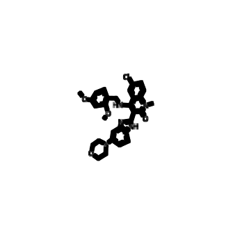 COc1ccc(CNc2c(-c3nc4cc(N5CCOCC5)ccc4[nH]3)c(=O)n(C)c3ccc(Cl)cc23)c(OC)c1